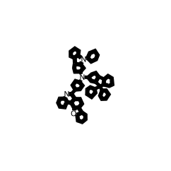 c1ccc(-n2c3ccccc3c3ccc(N(c4ccc(-c5nc6ccccc6c6c5ccc5c7ccccc7oc56)cc4)c4ccc5c(c4)C(c4ccccc4)(c4ccccc4)c4ccccc4-5)cc32)cc1